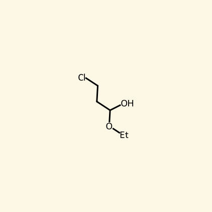 CCOC(O)CCCl